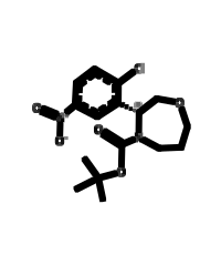 CC(C)(C)OC(=O)N1CCCOC[C@H]1c1cc([N+](=O)[O-])ccc1Cl